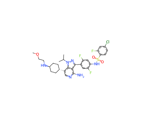 COCCN[C@H]1CC[C@H](c2cnc(N)c3c(-c4cc(F)c(NS(=O)(=O)c5ccc(Cl)cc5F)cc4F)nn(C(C)C)c32)CC1